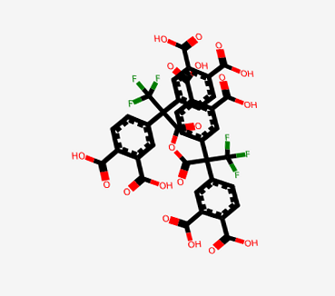 O=C(O)c1ccc(C(C(=O)OC(=O)C(c2ccc(C(=O)O)c(C(=O)O)c2)(c2ccc(C(=O)O)c(C(=O)O)c2)C(F)(F)F)(c2ccc(C(=O)O)c(C(=O)O)c2)C(F)(F)F)cc1C(=O)O